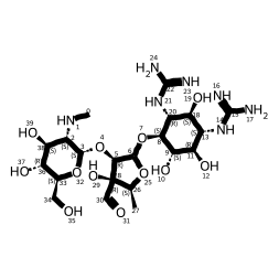 CN[C@@H]1[C@H](O[C@H]2C(O[C@@H]3[C@@H](O)[C@H](O)[C@@H](NC(=N)N)[C@H](O)[C@H]3NC(=N)N)O[C@@H](C)[C@]2(O)C=O)O[C@@H](CO)[C@H](O)[C@H]1O